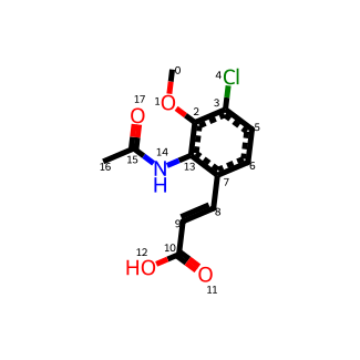 COc1c(Cl)ccc(C=CC(=O)O)c1NC(C)=O